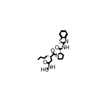 CCCC[C@@H](CC(=O)NO)C(=O)N1CCC[C@H]1C(=O)Nc1nc2ccccc2s1